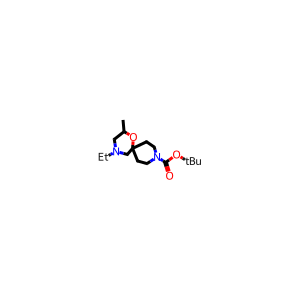 CCN1CC(C)OC2(CCN(C(=O)OC(C)(C)C)CC2)C1